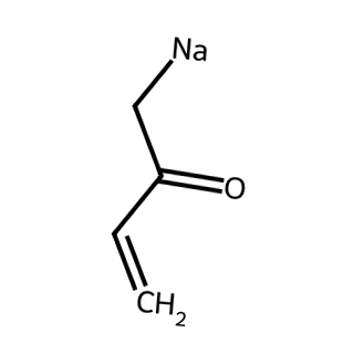 C=CC(=O)[CH2][Na]